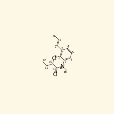 CC=Cc1cccc2c1OC(CC)C(=O)N2C